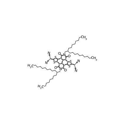 CCCCCCCCCCC(CCCCCCCC)Cn1c(=O)c2c3sc(=C(C#N)C#N)sc3c3c(=O)n(CC(CCCCCCCC)CCCCCCCCCC)c(=O)c4c5sc(=C(C#N)C#N)sc5c(c1=O)c2c34